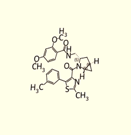 COc1ccc(C(=O)NC[C@@H]2C[C@H]3C[C@@H]3N2C(=O)c2nc(C)sc2-c2cccc(C)c2)c(OC)c1